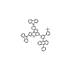 CC(C)(C)c1cccc(-c2cc(-c3cc4c5c(c3)Oc3cc(-n6c7ccccc7c7ccccc76)ccc3B5c3ccc(-n5c6ccccc6c6ccccc65)cc3O4)cc(-c3c4ccccc4c(-c4ccccc4)c4ccccc34)c2)c1